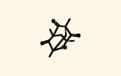 CC12CC3(C)C(=O)C(C)(CC(C)(C1=O)C3=O)P2